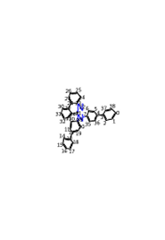 c1ccc(-c2ccc(N(c3ccc(-c4ccccc4)cc3)c3nc4ccccc4c4ccccc34)cc2)cc1